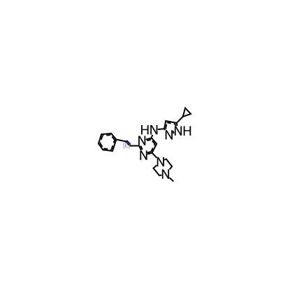 CN1CCN(c2cc(Nc3cc(C4CC4)[nH]n3)nc(/C=C/c3ccccc3)n2)CC1